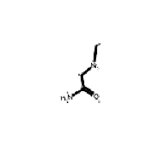 C[N]CC(N)=O